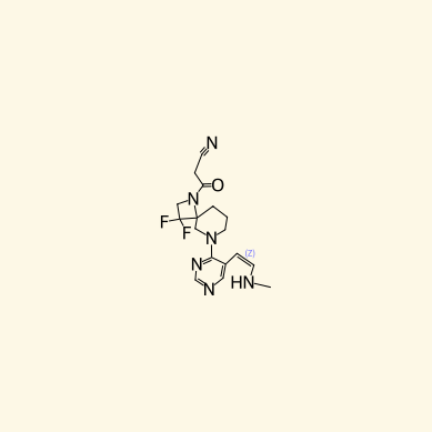 CN/C=C\c1cncnc1N1CCCC2(C1)N(C(=O)CC#N)CC2(F)F